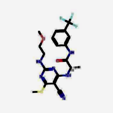 COCCNc1nc(N[C@@H](C)C(=O)Nc2cccc(C(F)(F)F)c2)c(C#N)c(SC)n1